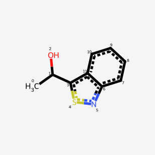 CC(O)c1snc2ccccc12